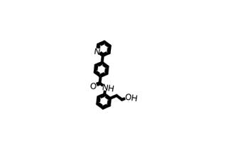 O=C(Nc1ccccc1CCO)c1ccc(-c2ccccn2)cc1